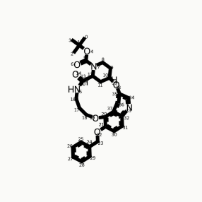 CC(C)(C)OC(=O)N1CC[C@H]2C[C@H]1C(=O)NCCCOc1c(OCc3ccccc3)ccc3ncc(cc13)O2